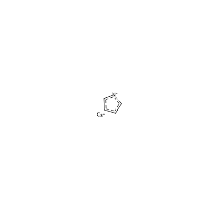 [Cs+].c1cc[n-]c1